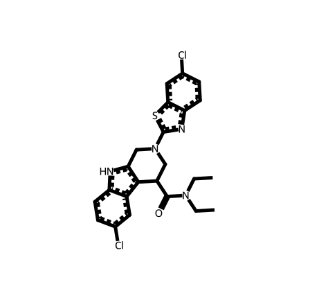 CCN(CC)C(=O)C1CN(c2nc3ccc(Cl)cc3s2)Cc2[nH]c3ccc(Cl)cc3c21